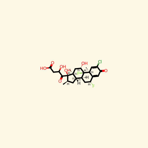 C[C@@H]1C[C@H]2[C@@H]3C[C@@H](F)C4=CC(=O)C(Cl)=C[C@]4(C)[C@@]3(F)[C@@H](O)C[C@]2(C)[C@@]1(O)C(=O)C(O)CC(=O)O